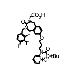 CC(C)(C)OC(=O)N(CCCOc1ccc2c(c1)CN(Cc1ccc(F)c(F)c1F)C(=O)[C@H](CC(=O)O)C2)c1cccc[n+]1[O-]